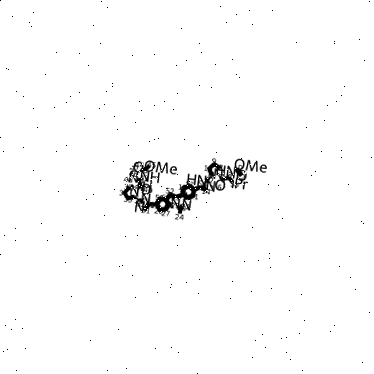 COC(=O)NC(C(=O)N1CCC[C@@H]1c1ncc(-c2ccc3c(c2)nc(C)n2c4ccc(-c5cnc([C@@H]6CCCN6C(=O)[C@@H](NC(=O)OC)N(C)C)[nH]5)cc4cc32)[nH]1)C(C)C